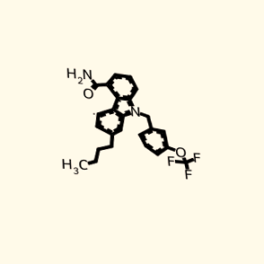 CCCCc1c[c]c2c3c(C(N)=O)cccc3n(Cc3cccc(OC(F)(F)F)c3)c2c1